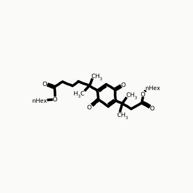 CCCCCCOC(=O)CCCC(C)(C)C1=CC(=O)C(C(C)(C)CC(=O)OCCCCCC)=CC1=O